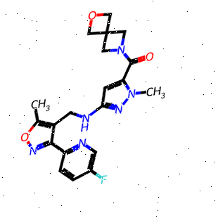 Cc1onc(-c2ccc(F)cn2)c1CNc1cc(C(=O)N2CC3(COC3)C2)n(C)n1